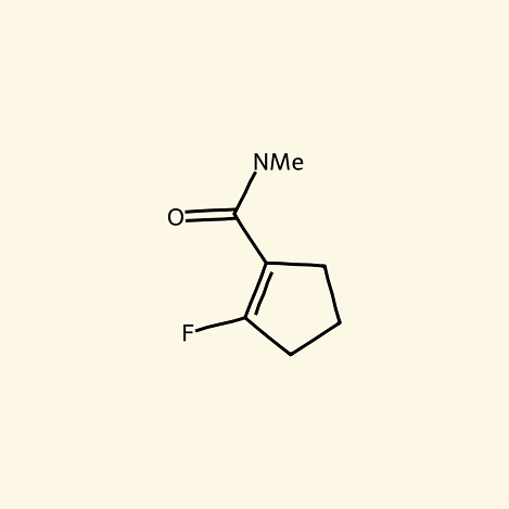 CNC(=O)C1=C(F)CCC1